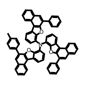 Cc1ccc(-c2cc3ccccc3c3c2oc2c(N(c4cccc5c4oc4c(-c6ccccc6)cc6ccccc6c45)c4cccc5c4oc4c(-c6ccccc6)cc6ccccc6c45)cccc23)cc1